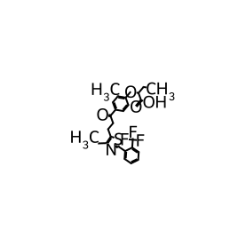 CCc1nc(-c2ccccc2C(F)(F)F)sc1CCC(=O)c1ccc(OC(CC)C(=O)O)c(C)c1